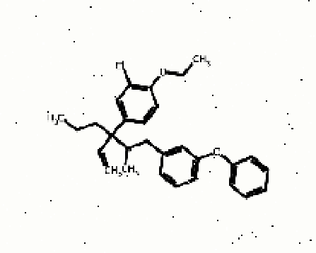 C=CC(CCC)(c1ccc(OCC)c(Cl)c1)C(C)Cc1cccc(Oc2ccccc2)c1